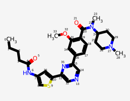 CCCCC(=O)Nc1csc(-c2cncc(-c3ccc(C(=O)N(C)C4CCN(C)CC4)c(OC)c3)n2)c1